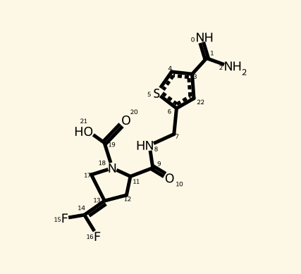 N=C(N)c1csc(CNC(=O)C2CC(=C(F)F)CN2C(=O)O)c1